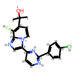 CC(C)(O)c1ccn2c(-c3ccnc(-c4ccc(Cl)cc4)n3)cnc2c1F